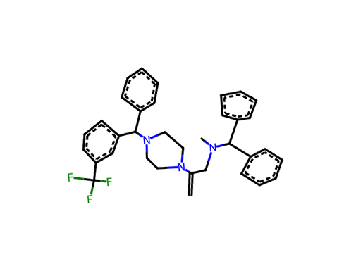 C=C(CN(C)C(c1ccccc1)c1ccccc1)N1CCN(C(c2ccccc2)c2cccc(C(F)(F)F)c2)CC1